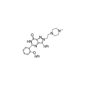 CCCOc1ccccc1-c1nc2c(CCC)n(CCN3CCN(C)CC3)nc2c(=O)[nH]1